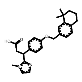 Cn1ccnc1C(CC(=O)O)c1ccc(OCc2ccc3c(c2)C(C)(C)CCC3)cc1